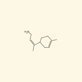 CC1=CCC(/C(C)=C\CN)CC1